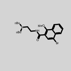 CCCCN(CCCC)CCNC(=O)c1cc(Br)c2ccccc2c1OC